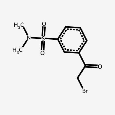 CN(C)S(=O)(=O)c1cccc(C(=O)CBr)c1